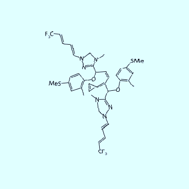 CSc1ccc(OC(/C=C\C(=C2C=C2)C(Oc2ccc(SC)cc2C)C2=NN(/C=C/C=C/C(F)(F)F)CN2C)C2=NN(/C=C/C=C/C(F)(F)F)CN2C)c(C)c1